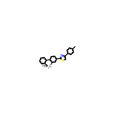 Cc1ccc(-c2csc(-c3ccc(-c4ccccc4C)c(C(=O)O)c3)n2)cc1